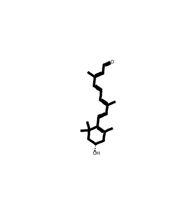 CC(C=CC=C(C)C=CC1=C(C)C[C@H](O)CC1(C)C)=CC=O